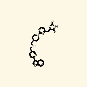 O=C1NC(=O)/C(=C/c2ccnc(N3CCC(CNCc4ccc(-c5csc6ccccc56)nc4)CC3)n2)S1